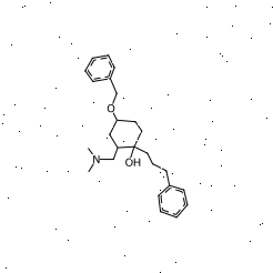 CN(C)CC1CC(OCc2ccccc2)CCC1(O)CCCc1ccccc1